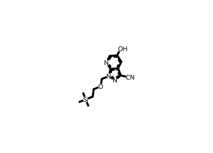 C[Si](C)(C)CCOCn1nc(C#N)c2cc(O)cnc21